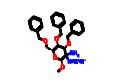 CO[C@@H]1O[C@H](COCc2ccccc2)[C@H](OCc2ccccc2)[C@H](OCc2ccccc2)[C@]1(N)N=[N+]=[N-]